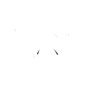 CC(C)C[C@@H]([C@@H](O)CC(=O)O)N(Cl)Cl